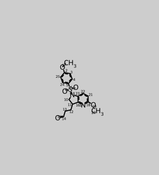 COc1ccc(S(=O)(=O)N2CC(CCC=O)c3nc(OC)ccc32)cc1